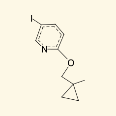 CC1(COc2ccc(I)cn2)CC1